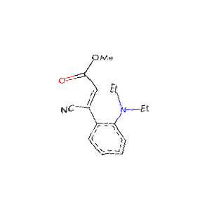 CCN(CC)c1ccccc1C(C#N)=CC(=O)OC